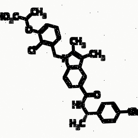 Cc1c(C)n(Cc2cccc(OC(C)C(=O)O)c2Cl)c2ccc(C(=O)N[C@@H](C)c3ccc(C(C)(C)C)cc3)cc12